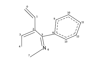 C=CC(=C/C)/C(=N\C)c1ccccc1